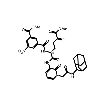 CNC(=O)C(=O)CC[C@H](NC(=O)c1cc(C(=O)OC)cc([N+](=O)[O-])c1)C(=O)Nc1cccn(CC(=O)NC2C3CC4CC(C3)CC2C4)c1=O